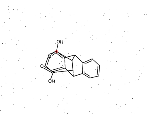 O=C(O)C1C2c3ccccc3C(c3ccccc32)C1C(=O)O